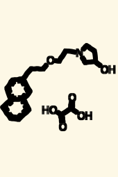 O=C(O)C(=O)O.OC1CCN(CCOCCc2ccc3ccccc3c2)C1